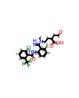 CN(CCC(CC=O)C(=O)O)C(=N)c1c(F)cccc1NC(=O)c1c(Cl)cccc1C(F)(F)F